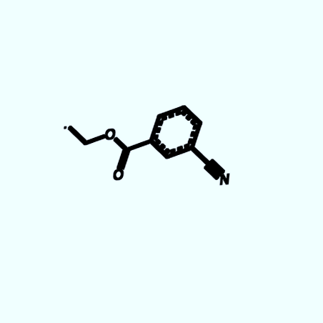 [CH2]COC(=O)c1cccc(C#N)c1